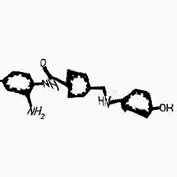 Nc1ccccc1NC(=O)c1ccc(CNc2ccc(O)cc2)cc1